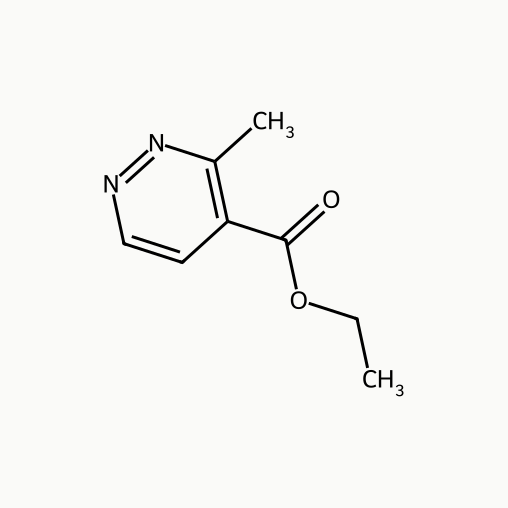 CCOC(=O)c1ccnnc1C